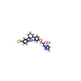 OC(COc1ccc(C2CCCc3c2[nH]c2ccc(Cl)cc32)cc1)Cn1cccn1